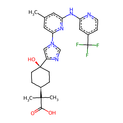 Cc1cc(Nc2cc(C(F)(F)F)ccn2)nc(-n2cnc([C@]3(O)CC[C@@H](C(C)(C)C(=O)O)CC3)c2)c1